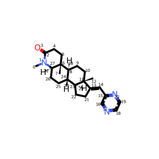 CN1C(=O)CC[C@]2(C)[C@H]3CC[C@]4(C)C(=Cc5cnccn5)CC[C@H]4[C@@H]3CC[C@@H]12